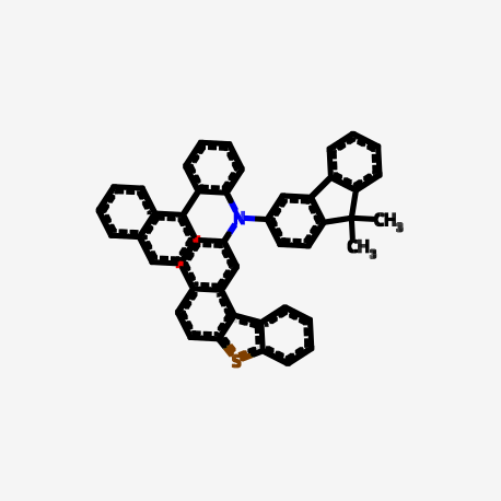 CC1(C)c2ccccc2-c2cc(N(c3ccc4ccc5sc6ccccc6c5c4c3)c3ccccc3-c3cccc4ccccc34)ccc21